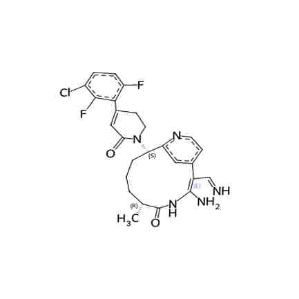 C[C@@H]1CCC[C@H](N2CCC(c3c(F)ccc(Cl)c3F)=CC2=O)c2cc(ccn2)/C(C=N)=C(/N)NC1=O